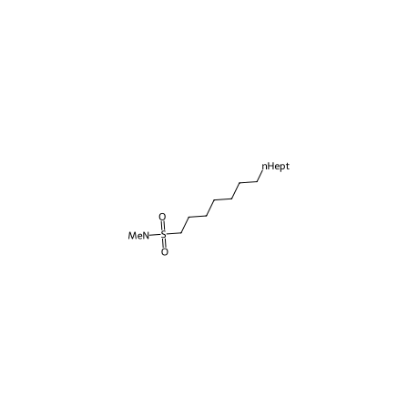 CCCCCCCCCCCCCCS(=O)(=O)NC